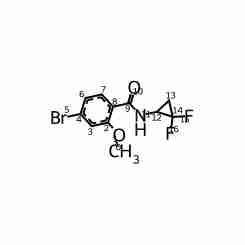 COc1cc(Br)ccc1C(=O)NC1CC1(F)F